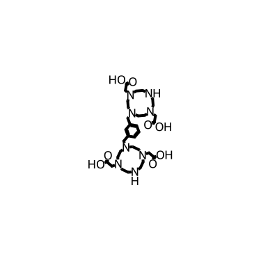 O=C(O)CN1CCNCCN(CC(=O)O)CCN(Cc2cccc(CN3CCN(CC(=O)O)CCNCCN(CC(=O)O)CC3)c2)CC1